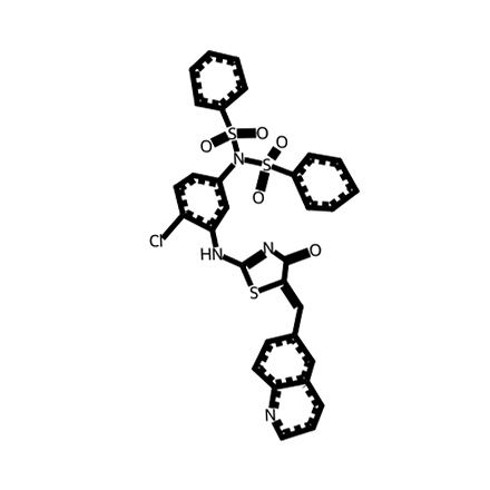 O=C1N=C(Nc2cc(N(S(=O)(=O)c3ccccc3)S(=O)(=O)c3ccccc3)ccc2Cl)S/C1=C\c1ccc2ncccc2c1